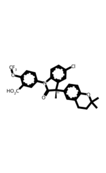 CC1(C)CCc2cc([C@]3(C)C(=O)N(c4ccc(OC(F)(F)F)c(C(=O)O)c4)c4ccc(Cl)cc43)ccc2O1